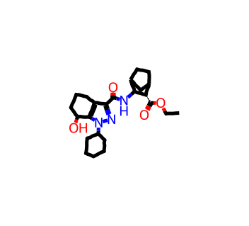 CCOC(=O)[C@H]1C2CCC(C2)C1NC(=O)c1nn(C2CCCCC2)c2c1CCCC2O